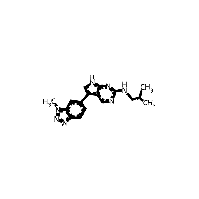 CC(C)CNc1ncc2c(-c3ccc4nnn(C)c4c3)c[nH]c2n1